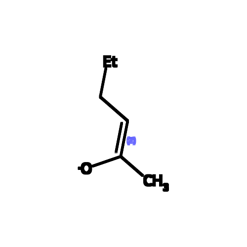 CCC/C=C(/C)[O]